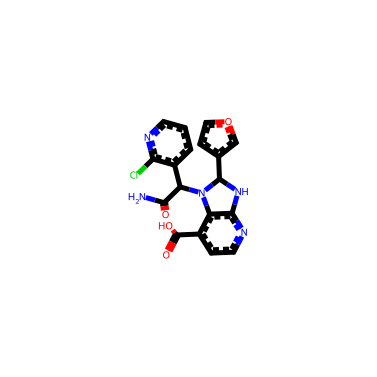 NC(=O)C(c1cccnc1Cl)N1c2c(C(=O)O)ccnc2NC1c1ccoc1